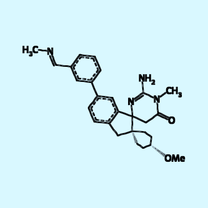 C/N=C/c1cccc(-c2ccc3c(c2)C2(CC(=O)N(C)C(N)=N2)[C@]2(CC[C@@H](OC)CC2)C3)c1